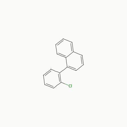 Clc1ccc[c]c1-c1cccc2ccccc12